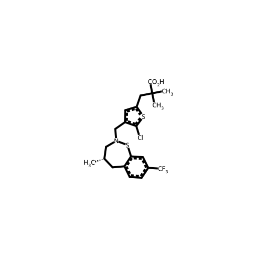 C[C@H]1Cc2ccc(C(F)(F)F)cc2SN(Cc2cc(CC(C)(C)C(=O)O)sc2Cl)C1